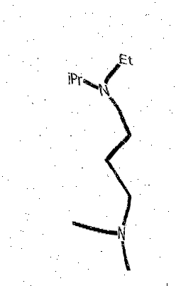 CCN(CCCN(C)C)C(C)C